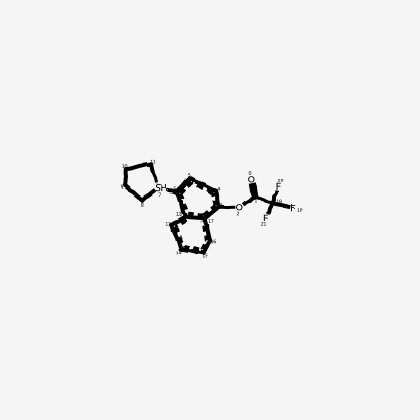 O=C(Oc1ccc([SH]2CCCC2)c2ccccc12)C(F)(F)F